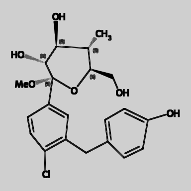 CO[C@@]1(c2ccc(Cl)c(Cc3ccc(O)cc3)c2)O[C@H](CO)[C@@H](C)[C@H](O)[C@H]1O